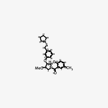 COC1CN(C(=O)c2cc(C)ccc2C)CC1Oc1cccc(CSN2CCCC2)c1